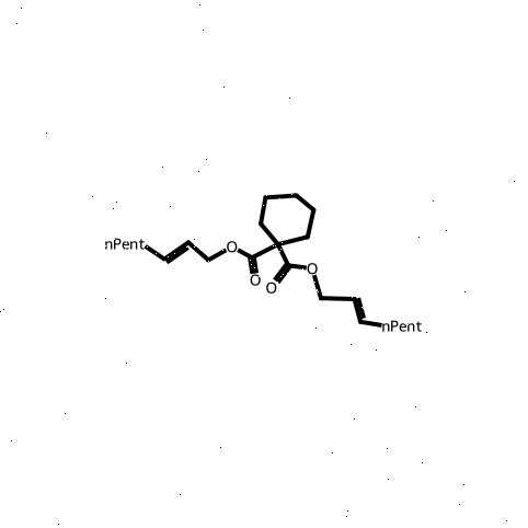 CCCCCC=CCOC(=O)C1(C(=O)OCC=CCCCCC)CCCCC1